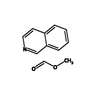 COC=O.c1ccc2cnccc2c1